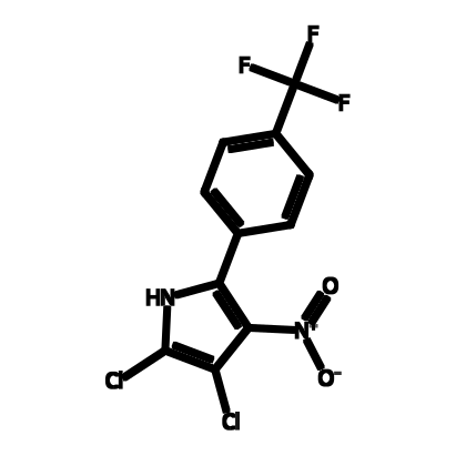 O=[N+]([O-])c1c(-c2ccc(C(F)(F)F)cc2)[nH]c(Cl)c1Cl